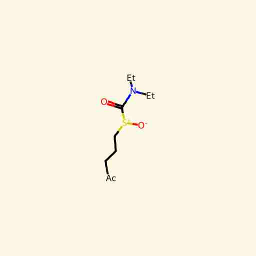 CCN(CC)C(=O)[S+]([O-])CCCC(C)=O